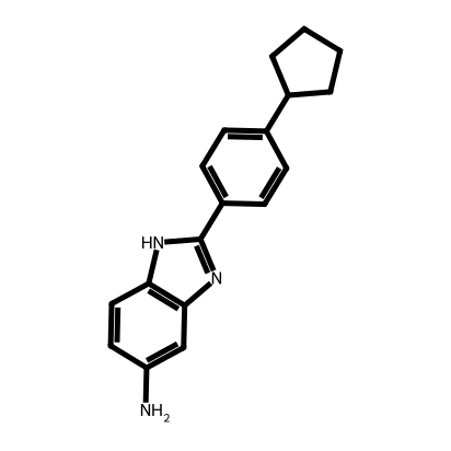 Nc1ccc2[nH]c(-c3ccc(C4CCCC4)cc3)nc2c1